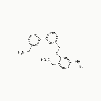 CCNc1ccc(CC(=O)O)c(OCc2cccc(-c3cccc(CN)c3)c2)c1